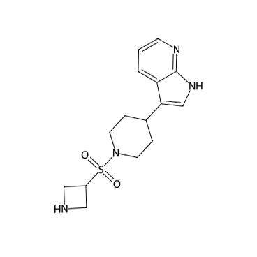 O=S(=O)(C1CNC1)N1CCC(c2c[nH]c3ncccc23)CC1